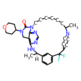 CC1CCCCCCN2C(=O)N(C3CCOCC3)Cc3c(ncnc32)N[C@H](C)c2cccc(c2)C(F)(F)C2CCN1CC2